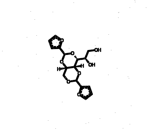 OC[C@@H](O)[C@H]1OC(c2ccco2)O[C@H]2COC(c3ccco3)O[C@@H]12